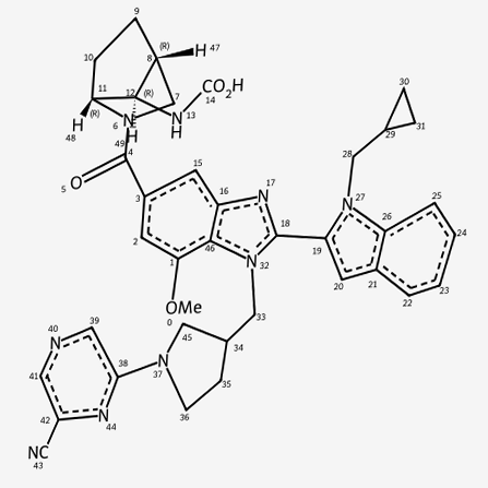 COc1cc(C(=O)N2C[C@H]3CC[C@@H]2[C@@H]3NC(=O)O)cc2nc(-c3cc4ccccc4n3CC3CC3)n(CC3CCN(c4cncc(C#N)n4)C3)c12